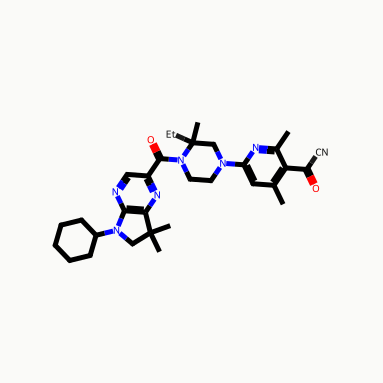 CCC1(C)CN(c2cc(C)c(C(=O)C#N)c(C)n2)CCN1C(=O)c1cnc2c(n1)C(C)(C)CN2C1CCCCC1